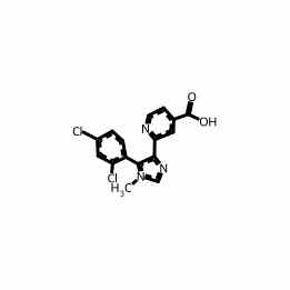 Cn1cnc(-c2cc(C(=O)O)ccn2)c1-c1ccc(Cl)cc1Cl